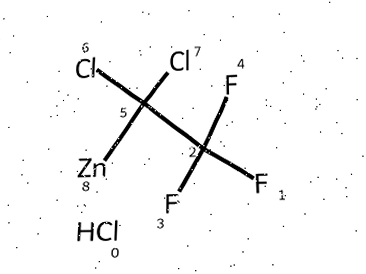 Cl.FC(F)(F)[C](Cl)(Cl)[Zn]